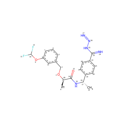 CC(C)[C@@H](OCc1cccc(OC(F)F)c1)C(=O)N[C@@H](C)c1ccc(C(=N)NN=N)cc1